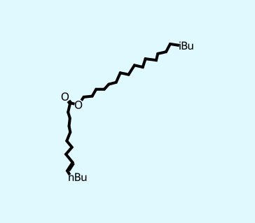 CCCCC=CCCCCCCCC(=O)OCCCCCCCCCCCCCCCC(C)CC